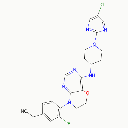 N#CCc1ccc(N2CCOc3c(NC4CCN(c5ncc(Cl)cn5)CC4)ncnc32)c(F)c1